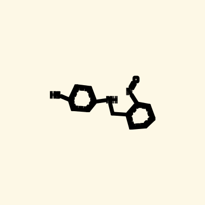 O=Nc1ccccc1CNc1ccc(S)cc1